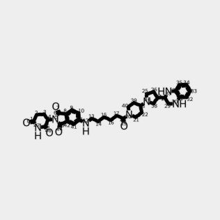 O=C1CCC(N2C(=O)c3ccc(NCCCCCC(=O)N4CCC(N5CCC(C6CNc7ccccc7N6)C5)CC4)cc3C2=O)C(=O)N1